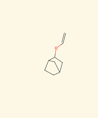 C=COC1CC2CCC1C2